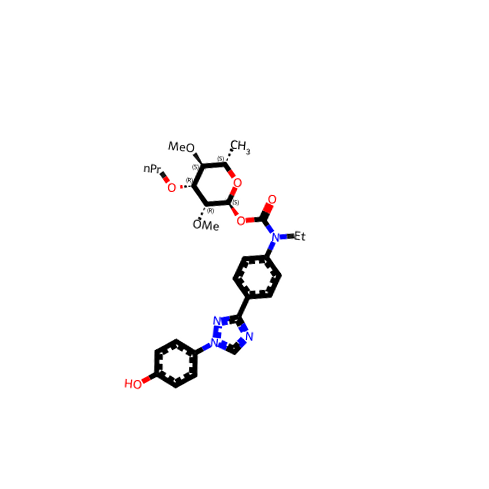 CCCO[C@@H]1[C@@H](OC)[C@H](C)O[C@@H](OC(=O)N(CC)c2ccc(-c3ncn(-c4ccc(O)cc4)n3)cc2)[C@@H]1OC